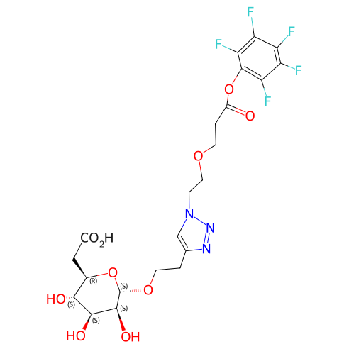 O=C(O)C[C@H]1O[C@H](OCCc2cn(CCOCCC(=O)Oc3c(F)c(F)c(F)c(F)c3F)nn2)[C@@H](O)[C@@H](O)[C@@H]1O